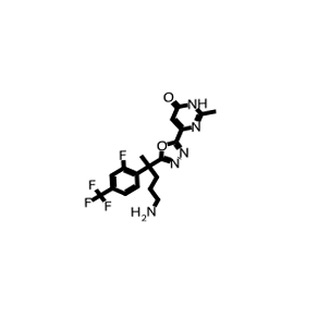 Cc1nc(-c2nnc(C(C)(CCCN)c3ccc(C(F)(F)F)cc3F)o2)cc(=O)[nH]1